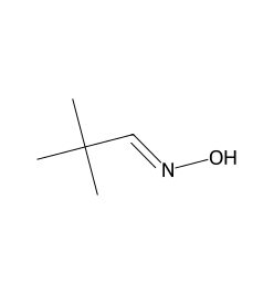 CC(C)(C)/C=N/O